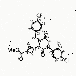 COC(=O)C12CC(C3C(=O)N(c4ncc(Cl)cc4F)CC(=O)N3Cc3ccc(C(F)(F)F)cc3)(C1)C2